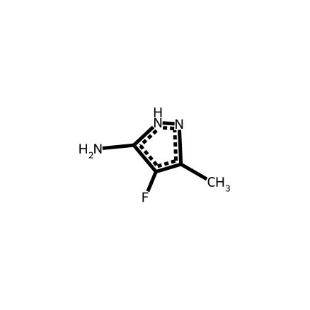 Cc1n[nH]c(N)c1F